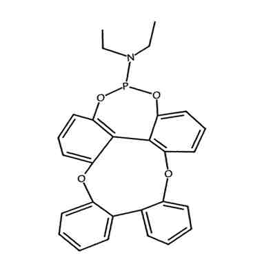 CCN(CC)p1oc2cccc3oc4ccccc4c4ccccc4oc4cccc(o1)c4c32